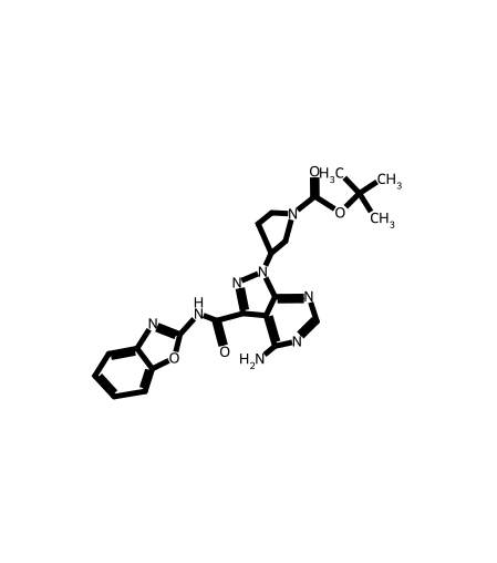 CC(C)(C)OC(=O)N1CCC(n2nc(C(=O)Nc3nc4ccccc4o3)c3c(N)ncnc32)C1